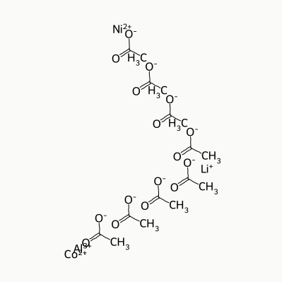 CC(=O)[O-].CC(=O)[O-].CC(=O)[O-].CC(=O)[O-].CC(=O)[O-].CC(=O)[O-].CC(=O)[O-].CC(=O)[O-].[Al+3].[Co+2].[Li+].[Ni+2]